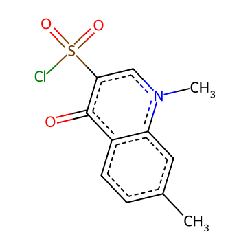 Cc1ccc2c(=O)c(S(=O)(=O)Cl)cn(C)c2c1